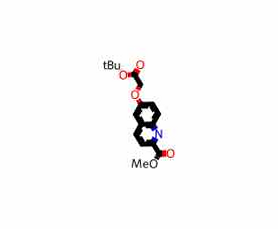 COC(=O)c1ccc2cc(OCC(=O)OC(C)(C)C)ccc2n1